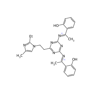 CCc1nc(C)cn1CCc1nc(/N=C(\C)c2ccccc2O)nc(/N=C(\C)c2ccccc2O)n1